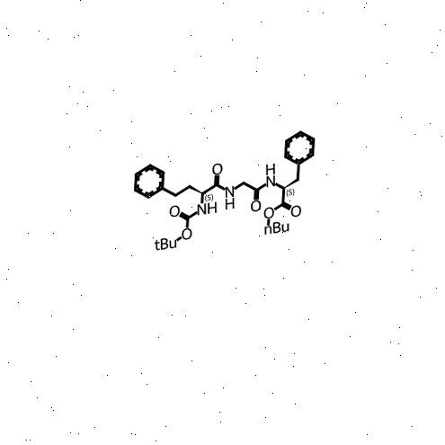 CCCCOC(=O)[C@H](Cc1ccccc1)NC(=O)CNC(=O)[C@H](CCc1ccccc1)NC(=O)OC(C)(C)C